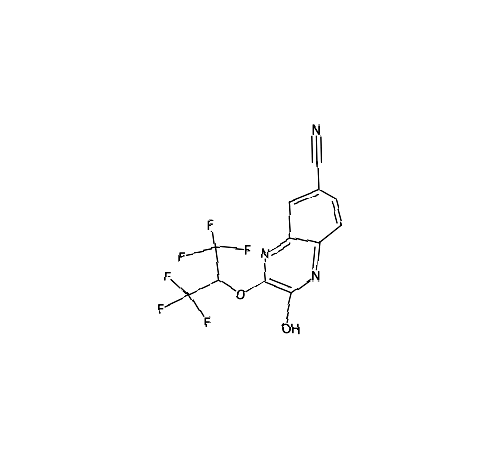 N#Cc1ccc2nc(O)c(OC(C(F)(F)F)C(F)(F)F)nc2c1